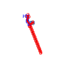 COCCOCCOCCOCCOCCOCCOCCOCCOCCOCCOCCOCCOCCOCCOCCOCCOCCOCCOCCOCCOCCOCCOCC(=O)OCn1cc(C(=O)c2c(F)ccc(NS(=O)(=O)N3CC[C@@H](F)C3)c2F)c2cc(-c3ccc(N4CCN(CC5CCN(c6ccc7c(c6)CN(C6CCC(=O)NC6=O)C7=O)CC5)CC4)cc3)cnc21